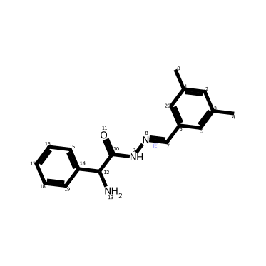 Cc1cc(C)cc(/C=N/NC(=O)C(N)c2ccccc2)c1